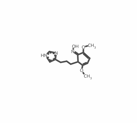 COC1=CC=C(OC)C(CCCc2c[nH]cn2)C1=NO